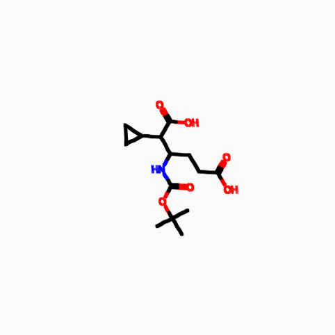 CC(C)(C)OC(=O)NC(CCC(=O)O)C(C(=O)O)C1CC1